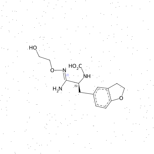 N/C(=N\OCCO)[C@H](Cc1ccc2c(c1)CCO2)NC(=O)O